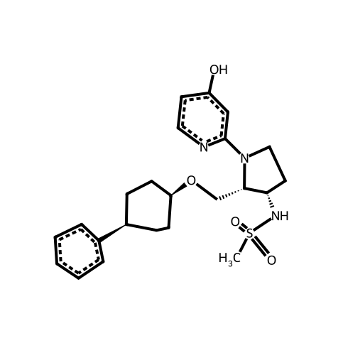 CS(=O)(=O)N[C@H]1CCN(c2cc(O)ccn2)[C@H]1CO[C@H]1CC[C@@H](c2ccccc2)CC1